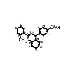 COc1ccc(-c2nc(-c3ccccc3C)nc3ccccc23)cc1